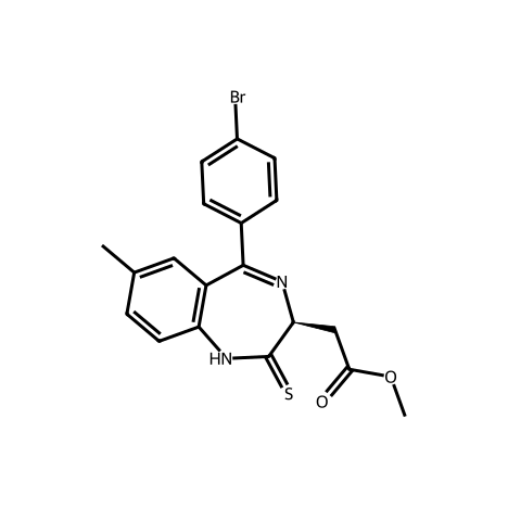 COC(=O)C[C@@H]1N=C(c2ccc(Br)cc2)c2cc(C)ccc2NC1=S